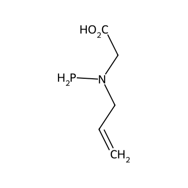 C=CCN(P)CC(=O)O